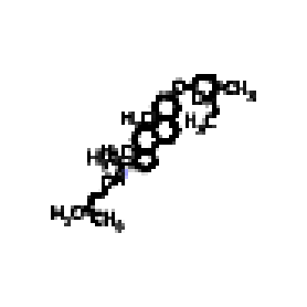 CC[C@H]1OC(O[C@H]2CC[C@@]3(C)C(=CCC4C3CC[C@@]3(C)C4CC[C@@H]3/C(C)=N/OCCC(C)C)C2)C=C[C@@H]1C